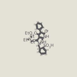 CCN(CC)CC.CCOC(=O)c1c(-c2ccccc2)c(=O)[nH]c2[nH]n(Cc3ccccc3S(=O)(=O)O)c(=O)c12